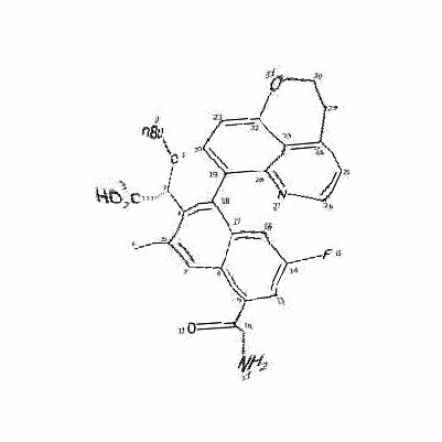 CCCCO[C@@H](C(=O)O)c1c(C)cc2c(C(N)=O)cc(F)cc2c1-c1ccc2c3c(ccnc13)CCO2